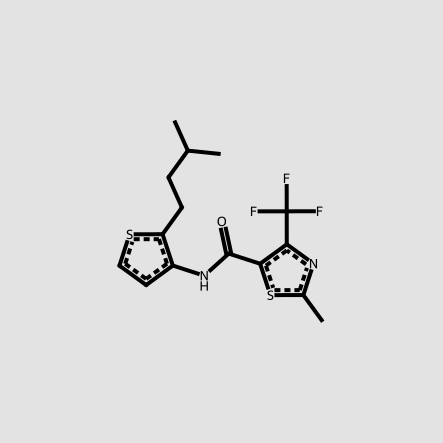 Cc1nc(C(F)(F)F)c(C(=O)Nc2ccsc2CCC(C)C)s1